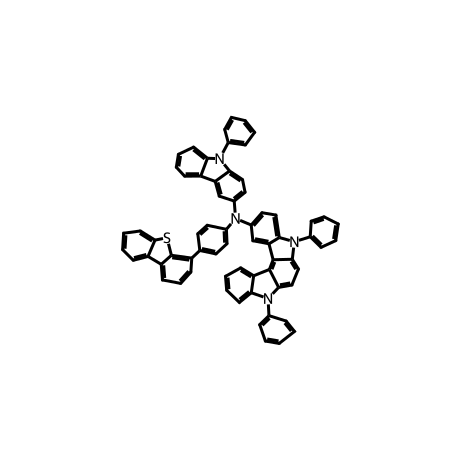 c1ccc(-n2c3ccccc3c3cc(N(c4ccc(-c5cccc6c5sc5ccccc56)cc4)c4ccc5c(c4)c4c6c7ccccc7n(-c7ccccc7)c6ccc4n5-c4ccccc4)ccc32)cc1